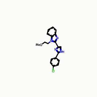 COCCn1c(-c2c[nH]c(-c3ccc(Cl)cc3)n2)nc2ccccc21